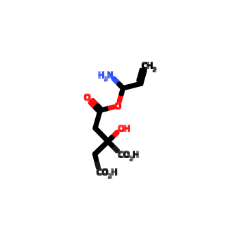 C=CC(N)OC(=O)CC(O)(CC(=O)O)C(=O)O